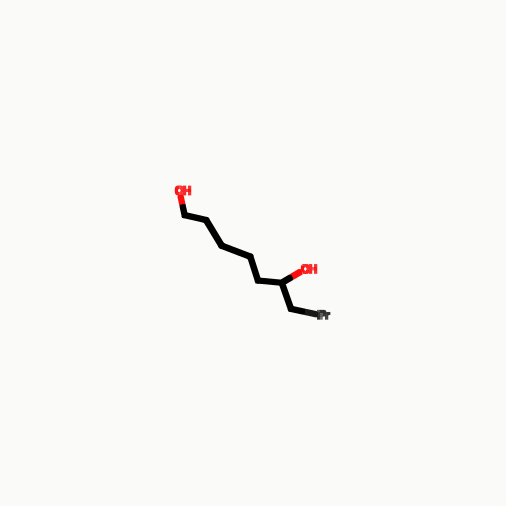 CC(C)CC(O)CCCCCO